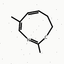 CC1=C/N=C(/C)CCC/C=C\1